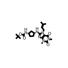 CC(C)=CCn1c(N[C@@H]2CC[C@H](NC(=O)OC(C)(C)C)C2)nc2c1c(=O)n(C)c(=O)n2C